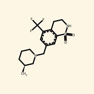 C[C@H]1CCCN(Cc2cc(C(F)(F)F)c3c(c2)S(=O)(=O)NCC3)C1